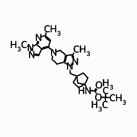 Cc1cc(N2CCc3c(c(C)nn3CC34CCC(NC(=O)OC(C)(C)C)(CC3)C4)C2)c2cnn(C)c2n1